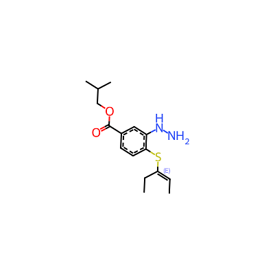 C/C=C(\CC)Sc1ccc(C(=O)OCC(C)C)cc1NN